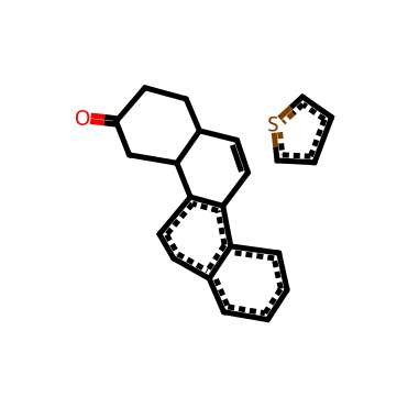 O=C1CCC2C=Cc3c(ccc4ccccc34)C2C1.c1ccsc1